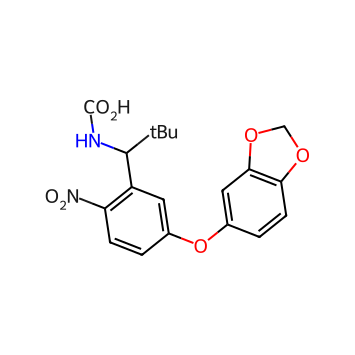 CC(C)(C)C(NC(=O)O)c1cc(Oc2ccc3c(c2)OCO3)ccc1[N+](=O)[O-]